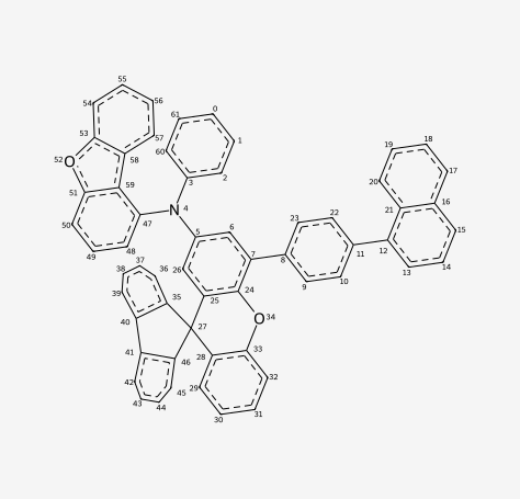 c1ccc(N(c2cc(-c3ccc(-c4cccc5ccccc45)cc3)c3c(c2)C2(c4ccccc4O3)c3ccccc3-c3ccccc32)c2cccc3oc4ccccc4c23)cc1